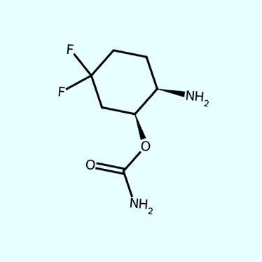 NC(=O)O[C@H]1CC(F)(F)CC[C@H]1N